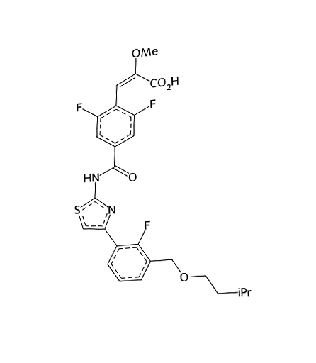 COC(=Cc1c(F)cc(C(=O)Nc2nc(-c3cccc(COCCC(C)C)c3F)cs2)cc1F)C(=O)O